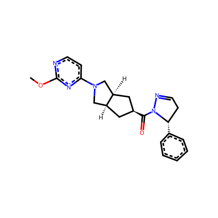 COc1nccc(N2C[C@H]3C[C@@H](C(=O)N4N=CC[C@@H]4c4ccccc4)C[C@H]3C2)n1